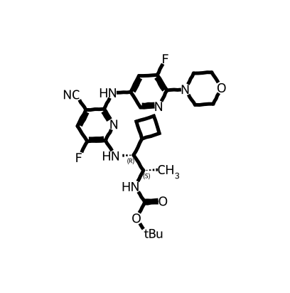 C[C@H](NC(=O)OC(C)(C)C)[C@H](Nc1nc(Nc2cnc(N3CCOCC3)c(F)c2)c(C#N)cc1F)C1CCC1